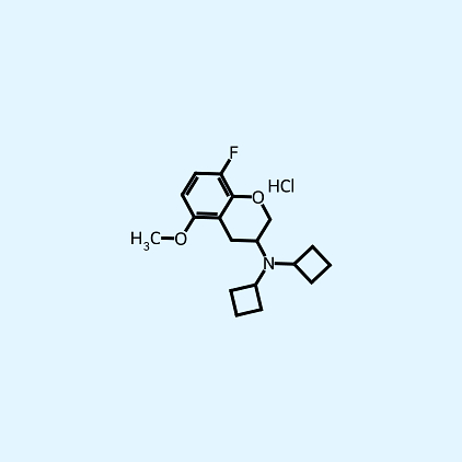 COc1ccc(F)c2c1CC(N(C1CCC1)C1CCC1)CO2.Cl